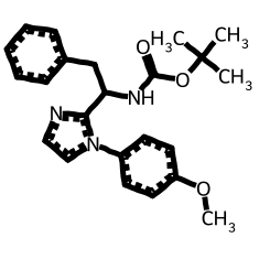 COc1ccc(-n2ccnc2C(Cc2ccccc2)NC(=O)OC(C)(C)C)cc1